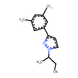 CC(CC#N)n1ccc(-c2cc(C(F)(F)F)cc(C(F)(F)F)c2)n1